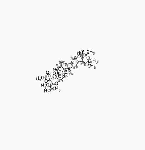 CC(=O)O[C@H]1[C@H]2O[C@@]23C(CC[C@@]2(C)[C@@]3(O)CC[C@H]3Cc4c([nH]c5cc6c(cc45)C[C@H]4C6=CC(C)(C)OC4(C)C)[C@@]32C)O[C@@H]1C(C)(C)O